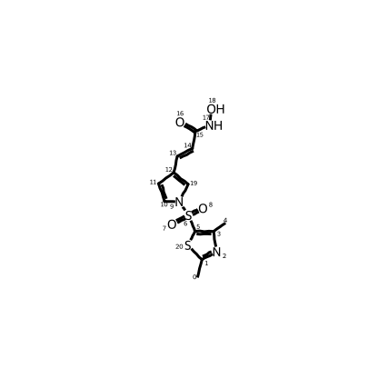 Cc1nc(C)c(S(=O)(=O)n2ccc(C=CC(=O)NO)c2)s1